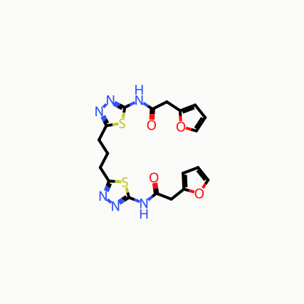 O=C(Cc1ccco1)Nc1nnc(CCCc2nnc(NC(=O)Cc3ccco3)s2)s1